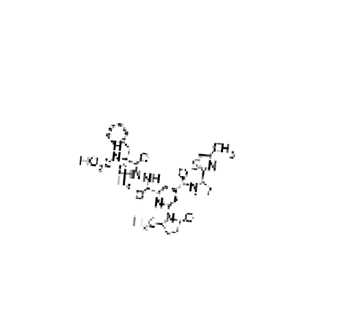 Cc1csc([C@H]2CCCN2C(=O)c2cc(C(=O)NNC(=O)[C@@](C)(Cc3ccccc3)NC(=O)O)nc(N3C(=O)CCC3C)c2)n1